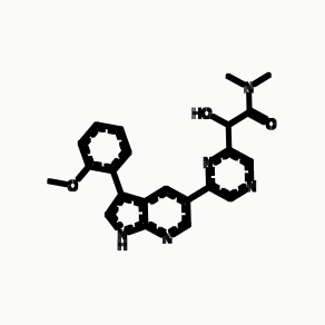 COc1ccccc1-c1c[nH]c2ncc(-c3cncc(C(O)C(=O)N(C)C)n3)cc12